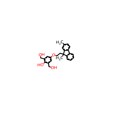 Cc1ccc2c(c1)C(C)(CCOc1cc(CO)c(O)c(CO)c1)c1ccccc1-2